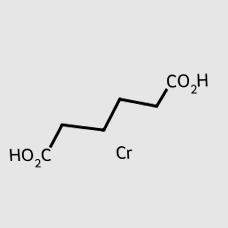 O=C(O)CCCCC(=O)O.[Cr]